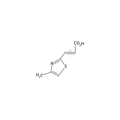 Cc1csc(/C=C/C(=O)O)n1